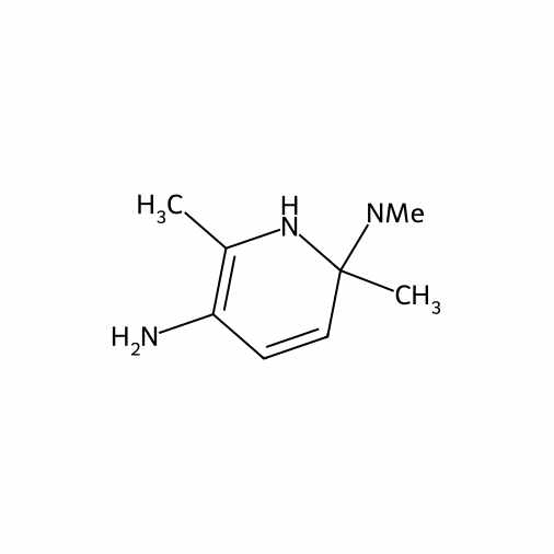 CNC1(C)C=CC(N)=C(C)N1